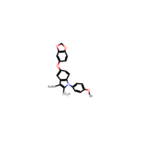 CC(=O)Nc1c(C(=O)O)n(-c2ccc(OC(C)C)cc2)c2ccc(Oc3ccc4c(c3)OCO4)cc12